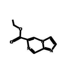 CCOC(=O)c1cn2ccnc2cn1